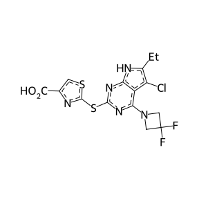 CCc1[nH]c2nc(Sc3nc(C(=O)O)cs3)nc(N3CC(F)(F)C3)c2c1Cl